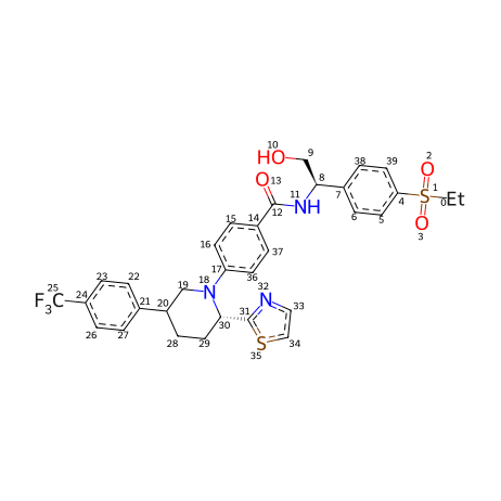 CCS(=O)(=O)c1ccc([C@H](CO)NC(=O)c2ccc(N3CC(c4ccc(C(F)(F)F)cc4)CC[C@H]3c3nccs3)cc2)cc1